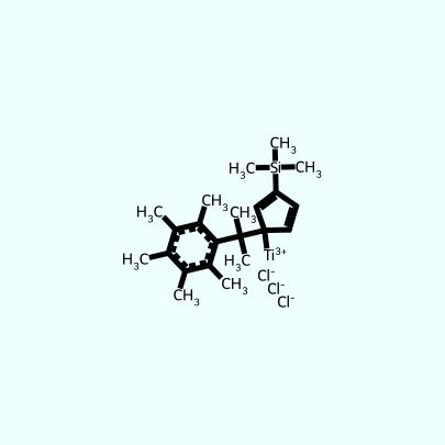 Cc1c(C)c(C)c(C(C)(C)[C]2([Ti+3])C=CC([Si](C)(C)C)=C2)c(C)c1C.[Cl-].[Cl-].[Cl-]